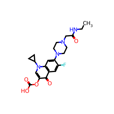 CCNC(=O)CN1CCN(c2cc3c(cc2F)c(=O)c(OC(=O)O)cn3C2CC2)CC1